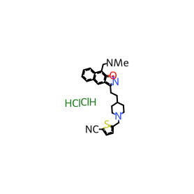 CNCc1c2ccccc2cc2c(CCC3CCN(Cc4ccc(C#N)s4)CC3)noc12.Cl.Cl